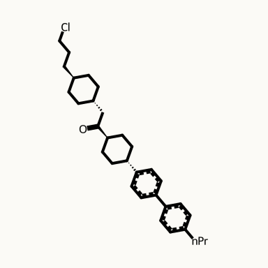 CCCc1ccc(-c2ccc([C@H]3CC[C@H](C(=O)C[C@H]4CC[C@H](CCCCl)CC4)CC3)cc2)cc1